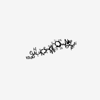 CC(C)(C)OC(=O)NCc1ccc(-c2cn(Cc3ccc(-c4nnc(C(F)F)o4)cc3)nn2)cn1